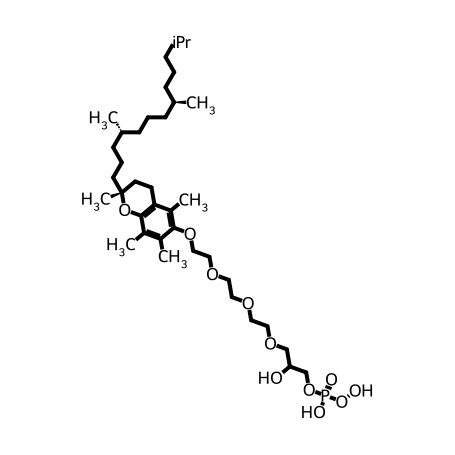 Cc1c(C)c2c(c(C)c1OCCOCCOCCOCC(O)COP(=O)(O)OO)CC[C@@](C)(CCC[C@H](C)CCC[C@H](C)CCCC(C)C)O2